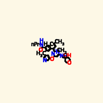 CCCNC(=O)c1ccc(/C(C=C(C)C)=C2\N=C(Oc3cccnc3)C=C(NCC3(O)CCOCC3)N2C)cc1C